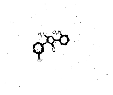 NC1=C(c2cccc(Br)c2)C(=O)C(c2ccccc2[N+](=O)[O-])C1